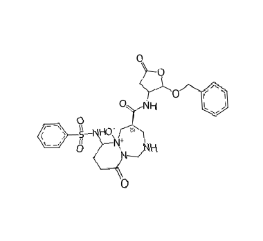 O=C1CC(NC(=O)[C@H]2CNCN3C(=O)CCC(NS(=O)(=O)c4ccccc4)[N+]3([O-])C2)C(OCc2ccccc2)O1